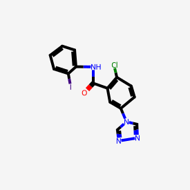 O=C(Nc1ccccc1I)c1cc(-n2cnnc2)ccc1Cl